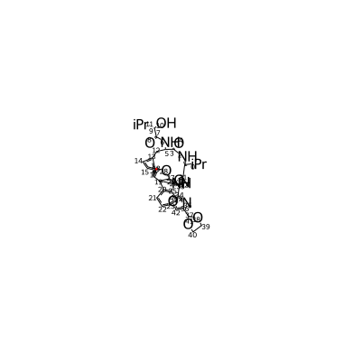 CC(C)C1NC(=O)C(NC(=O)[C@@H](O)C(C)C)Cc2ccc3c(c2)C2(c4ccccc4NC2O3)c2oc1nc2-c1nc(C2OCCO2)co1